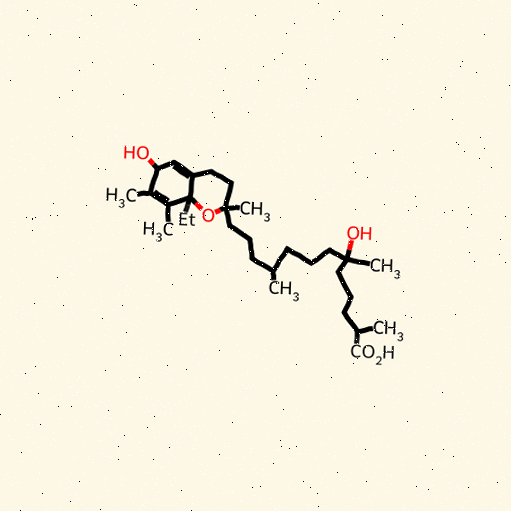 CCC12OC(C)(CCCC(C)CCCC(C)(O)CCCC(C)C(=O)O)CCC1=CC(O)C(C)=C2C